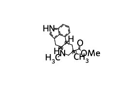 COC(=O)[C@]1(C)C[C@@H]2c3cccc4[nH]cc(c34)C[C@H]2N(C)C1